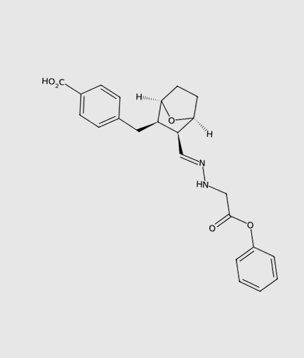 O=C(CNN=C[C@H]1[C@@H](Cc2ccc(C(=O)O)cc2)[C@H]2CC[C@@H]1O2)Oc1ccccc1